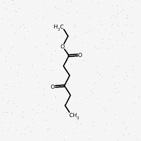 CCCC(=O)CCC(=O)OCC